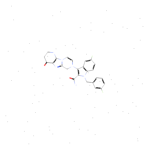 NC(=O)c1c(N2C=Cn3c(nc4c3NCCC4=O)C2)c2cc(F)ccc2n1Cc1cccc(F)c1